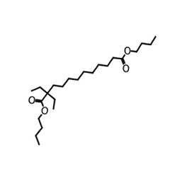 CCCCOC(=O)CCCCCCCCCC(CC)(CC)C(=O)OCCCC